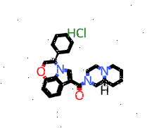 Cl.O=C(c1cn2c3c(cccc13)OC[C@H]2C1CCCCC1)N1CCN2CCCC[C@H]2C1